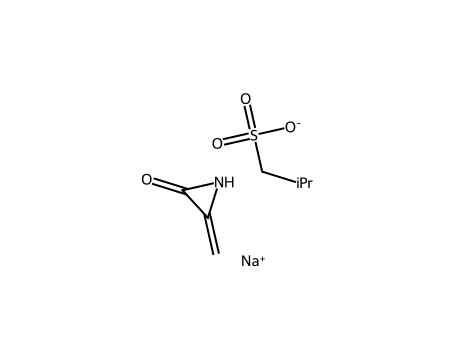 C=C1NC1=O.CC(C)CS(=O)(=O)[O-].[Na+]